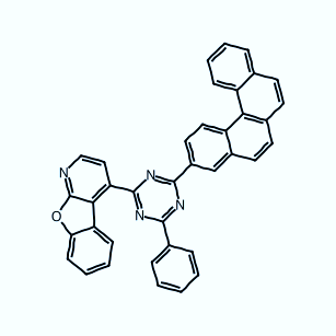 c1ccc(-c2nc(-c3ccc4c(ccc5ccc6ccccc6c54)c3)nc(-c3ccnc4oc5ccccc5c34)n2)cc1